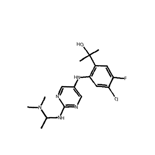 C[C](Nc1ncc(Nc2cc(Cl)c(F)cc2C(C)(C)O)cn1)N(C)C